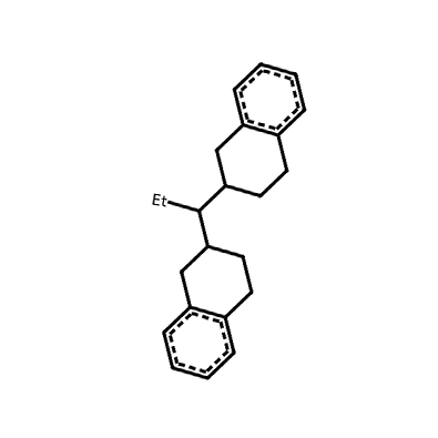 [CH2]CC(C1CCc2ccccc2C1)C1CCc2ccccc2C1